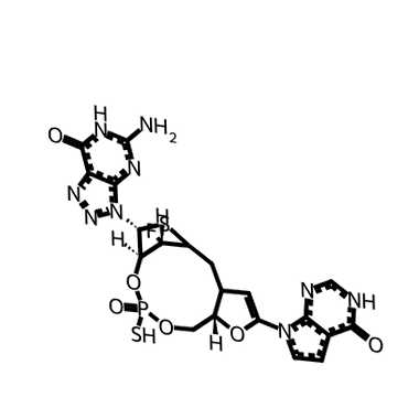 Nc1nc2c(nnn2[C@@H]2SC3CC4C=C(n5ccc6c(=O)[nH]cnc65)O[C@@H]4COP(=O)(S)O[C@@H]2[C@@H]3F)c(=O)[nH]1